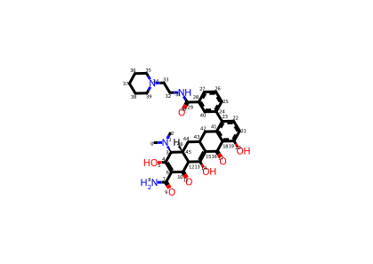 CN(C)[C@@H]1C(O)=C(C(N)=O)C(=O)C2C(O)=C3C(=O)c4c(O)ccc(-c5cccc(C(=O)NCCN6CCCCC6)c5)c4CC3C[C@H]21